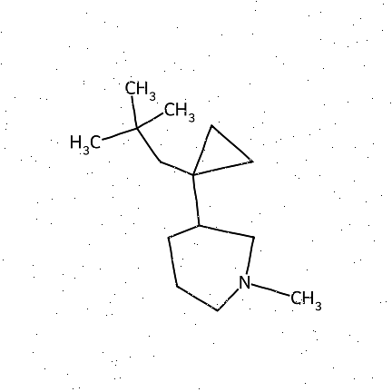 CN1CCCC(C2(CC(C)(C)C)CC2)C1